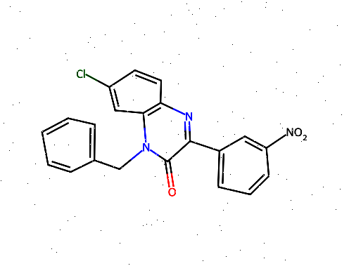 O=c1c(-c2cccc([N+](=O)[O-])c2)nc2ccc(Cl)cc2n1Cc1ccccc1